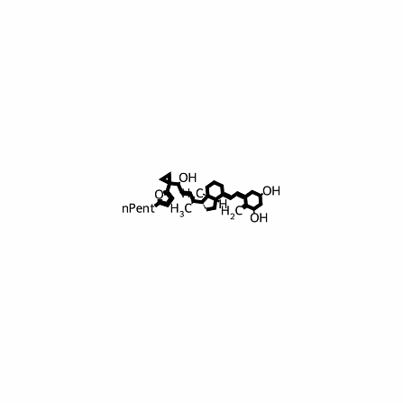 C=C1/C(=C\C=C2/CCC[C@]3(C)[C@@H]([C@H](C)/C=C/[C@@H](O)C4(c5ccc(CCCCC)o5)CC4)CC[C@@H]23)C[C@@H](O)C[C@@H]1O